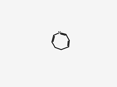 C1=CCCC=CN=C1